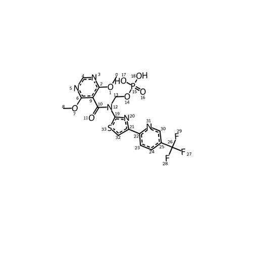 COc1ncnc(OC)c1C(=O)N(COP(=O)(O)O)c1nc(-c2ccc(C(F)(F)F)cn2)cs1